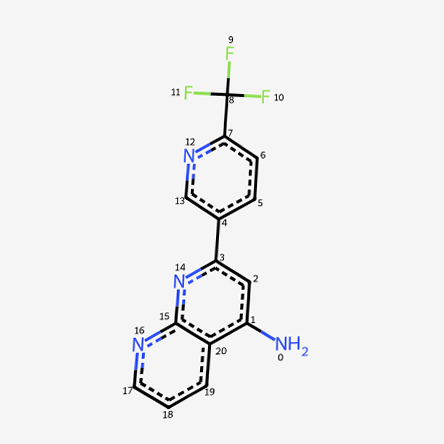 Nc1cc(-c2ccc(C(F)(F)F)nc2)nc2ncccc12